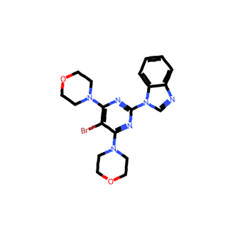 Brc1c(N2CCOCC2)nc(-n2cnc3ccccc32)nc1N1CCOCC1